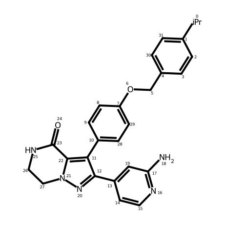 CC(C)c1ccc(COc2ccc(-c3c(-c4ccnc(N)c4)nn4c3C(=O)NCC4)cc2)cc1